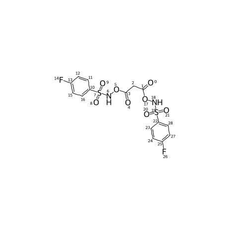 O=C(CC(=O)ONS(=O)(=O)c1ccc(F)cc1)ONS(=O)(=O)c1ccc(F)cc1